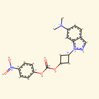 CN(C)c1ccc2cnn(C3CC(OC(=O)Oc4ccc([N+](=O)[O-])cc4)C3)c2c1